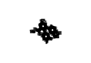 N/C(=N\O)c1cc(C(F)(F)F)cc(-c2ccc3[nH]ncc3c2)c1-c1ccc(F)c(F)c1